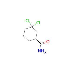 NC(=O)[C@H]1CCCC(Cl)(Cl)C1